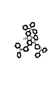 c1ccc(N(c2ccccc2)c2cccc(-c3cc4c5c(c3)N(c3ccc([SiH](c6ccccc6)c6ccccc6)cc3)c3ccccc3B5c3cc([Si](c5ccccc5)(c5ccccc5)c5ccccc5)ccc3N4)c2)cc1